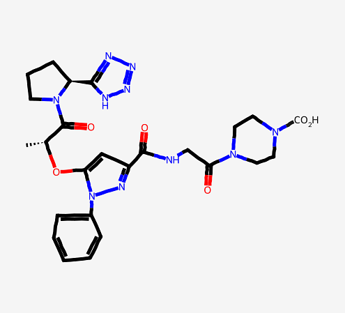 C[C@@H](Oc1cc(C(=O)NCC(=O)N2CCN(C(=O)O)CC2)nn1-c1ccccc1)C(=O)N1CCC[C@H]1c1nnn[nH]1